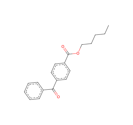 CCCCCOC(=O)c1ccc(C(=O)c2ccccc2)cc1